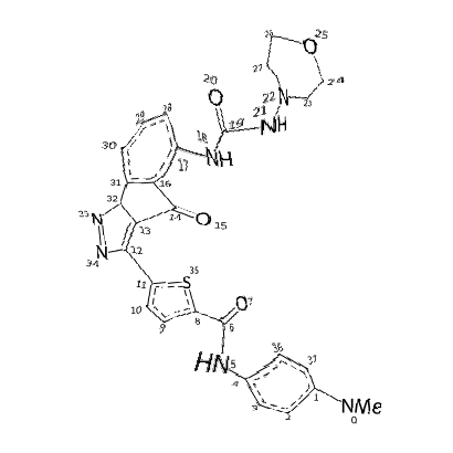 CNc1ccc(NC(=O)c2ccc(C3=C4C(=O)c5c(NC(=O)NN6CCOCC6)cccc5C4N=N3)s2)cc1